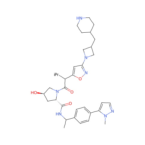 CC(NC(=O)[C@@H]1C[C@@H](O)CN1C(=O)C(c1cc(N2CC(CC3CCNCC3)C2)no1)C(C)C)c1ccc(-c2ccnn2C)cc1